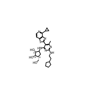 Cc1nc(NCCC2CCCC2)nc(NC2C[C@H](CO)[C@@H](O)[C@H]2O)c1-c1nc2c(C3CC3)nccc2s1